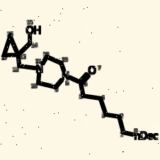 CCCCCCCCCCCCCCCC(=O)N1CCN(CC2(CO)CC2)CC1